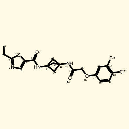 CCc1ncc(C(=O)NC23CC(NC(=O)COc4ccc(Cl)c(F)c4)(C2)C3)s1